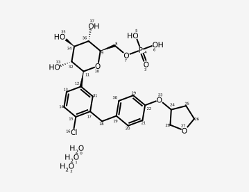 O.O.O.O=P(O)(O)OC[C@H]1O[C@@H](c2ccc(Cl)c(Cc3ccc(OC4CCOC4)cc3)c2)[C@H](O)[C@@H](O)[C@@H]1O